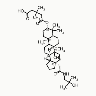 CC(C)(O)CNC(=O)C[C@]12CCC[C@@H]1[C@H]1CCC3[C@@]4(C)CC[C@H](OC(=O)CC(C)(C)CC(=O)O)C(C)(C)C4CC[C@@]3(C)[C@]1(C)CC2